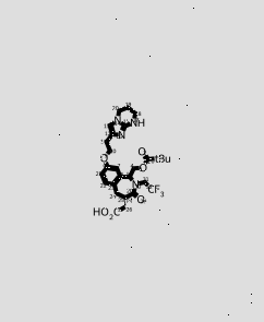 CC(C)(C)C(=O)OCC1c2cc(OCCc3cn4c(n3)NCCC4)ccc2C[C@@H](CC(=O)O)C(=O)N1CC(F)(F)F